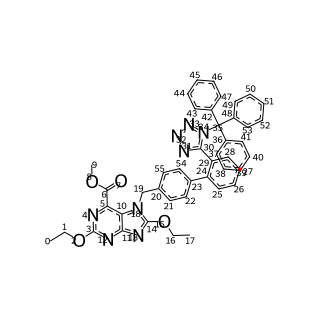 CCOc1nc(C(=O)OC)c2c(n1)nc(OCC)n2Cc1ccc(-c2ccccc2-c2nnnn2C(c2ccccc2)(c2ccccc2)c2ccccc2)cc1